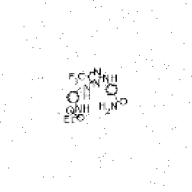 CCS(=O)(=O)Nc1cccc(CNc2nc(Nc3ccc(C(N)=O)cc3)ncc2C(F)(F)F)c1